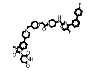 Cn1c(=O)n(C2CCC(=O)NC2=O)c2ccc(C3CCN(CC4CCN(CC(=O)N5CCC(Nc6ncc(F)c(-c7cccc(-c8ccc(F)cc8)c7)n6)CC5)CC4)CC3)cc21